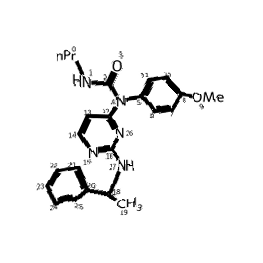 CCCNC(=O)N(c1ccc(OC)cc1)c1ccnc(NC(C)c2ccccc2)n1